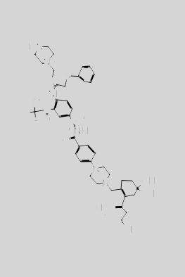 C=C(CCCl)C1=C(CN2CCN(c3ccc(C(=O)NS(=O)(=O)c4ccc(N[C@H](CCN5CCNCC5)CSc5ccccc5)c(S(=O)(=O)C(F)(F)F)c4)cc3)CC2)CCC(C)(C)C1